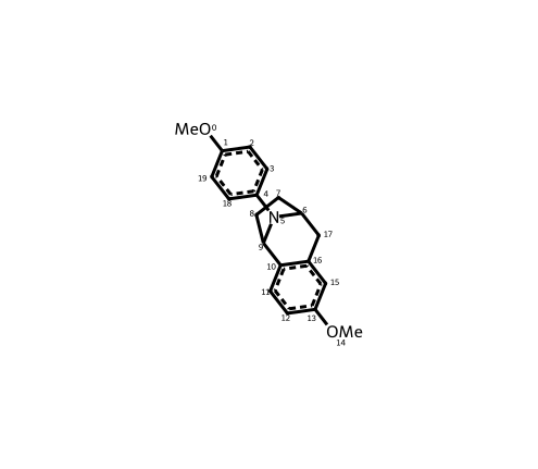 COc1ccc(N2C3CCC2c2ccc(OC)cc2C3)cc1